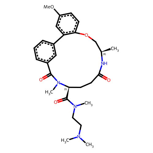 COc1ccc2c(c1)-c1cccc(c1)C(=O)N(C)[C@H](C(=O)N(C)CCN(C)C)CCC(=O)N[C@H](C)CO2